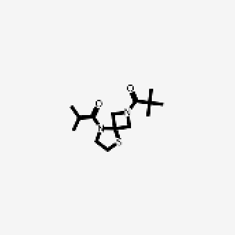 CC(C)C(=O)N1CCSC12CN(C(=O)C(C)(C)C)C2